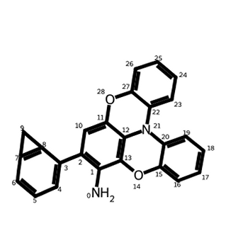 Nc1c(-c2cccc3c2C3)cc2c3c1Oc1ccccc1N3c1ccccc1O2